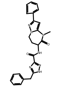 CN1C(=O)C(NC(=O)c2n[nH]c(Cc3ccccc3)n2)CCn2nc(-c3ccccc3)cc21